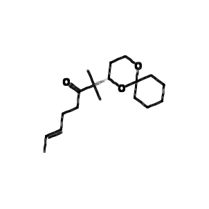 CC=CCCC(=O)C(C)(C)[C@@H]1CCOC2(CCCCC2)O1